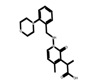 Cc1ccn(NCc2ccccc2N2CCOCC2)c(=O)c1C(C)C(=O)O